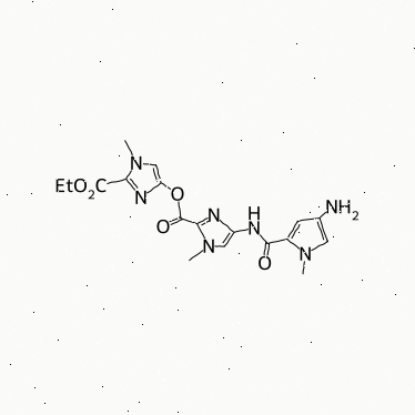 CCOC(=O)c1nc(OC(=O)c2nc(NC(=O)c3cc(N)cn3C)cn2C)cn1C